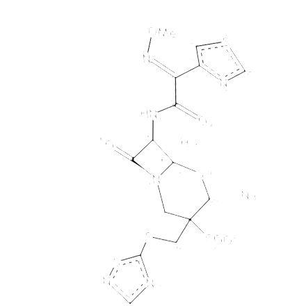 CON=C(C(=O)NC1C(=O)N2CC(CSc3ncns3)(C(=O)[O-])CS[C@H]12)c1cscn1.[Na+]